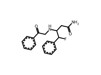 NC(=O)CC(NCC(=O)c1ccccc1)C(F)c1ccccc1